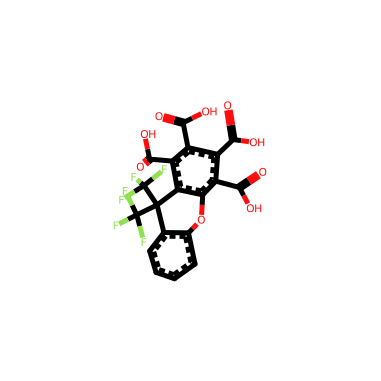 O=C(O)c1c2c(c(C(=O)O)c(C(=O)O)c1C(=O)O)C(C(F)(F)F)(C(F)(F)F)c1ccccc1O2